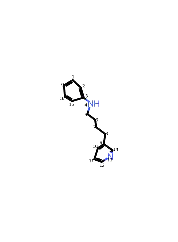 c1ccc(NCCCCc2cccnc2)cc1